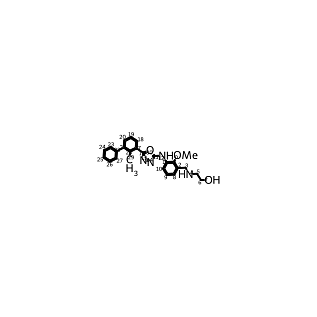 COc1c(CNCCO)cccc1Nc1nnc(-c2cccc(-c3ccccc3)c2C)o1